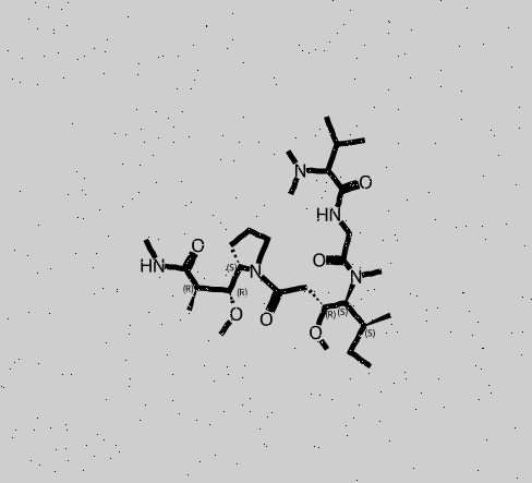 CC[C@H](C)[C@@H]([C@@H](CC(=O)N1CCC[C@H]1[C@H](OC)[C@@H](C)C(=O)NC)OC)N(C)C(=O)CNC(=O)C(C(C)C)N(C)C